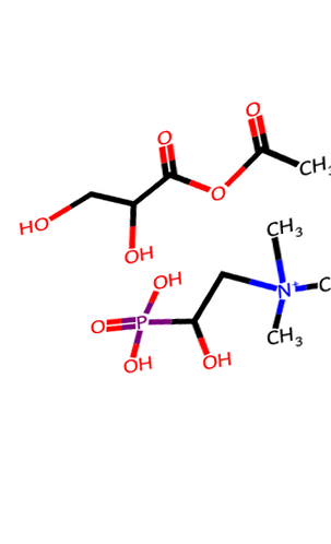 CC(=O)OC(=O)C(O)CO.C[N+](C)(C)CC(O)P(=O)(O)O